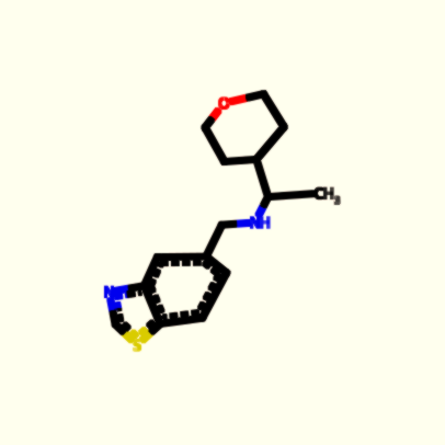 CC(NCc1ccc2scnc2c1)C1CCOCC1